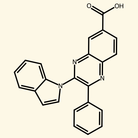 O=C(O)c1ccc2nc(-c3ccccc3)c(-n3ccc4ccccc43)nc2c1